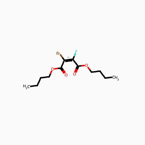 CCCCOC(=O)/C(F)=C(/Br)C(=O)OCCCC